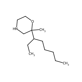 CCCCCC(CC)C1(C)CNCCO1